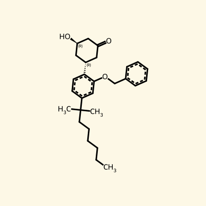 CCCCCCC(C)(C)c1ccc([C@H]2CC(=O)C[C@H](O)C2)c(OCc2ccccc2)c1